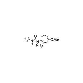 COC1=CC=CC(N(N)C(=O)NN)=C(C)C1